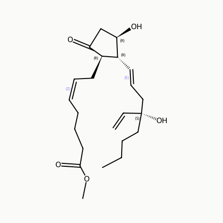 C=C[C@@](O)(C/C=C/[C@H]1[C@H](O)CC(=O)[C@@H]1C/C=C\CCCC(=O)OC)CCCC